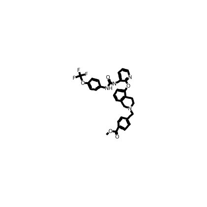 COC(=O)c1ccc(CN2CCc3c(cccc3Oc3ncccc3NC(=O)Nc3ccc(OC(F)(F)F)cc3)C2)cc1